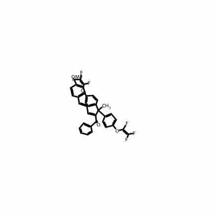 COc1ccc(C=CC=C(C(=O)c2ccccc2)C(C)(c2ccc(OC(F)=C(F)F)cc2)c2ccc(OC(F)=C(F)F)cc2)cc1